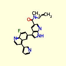 C=CCN(C)C(=O)c1cnc2[nH]cc(-c3cc(F)c4nccc(-c5cccnc5)c4c3)c2c1